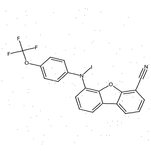 N#Cc1cccc2c1oc1c(N(I)c3ccc(OC(F)(F)F)cc3)cccc12